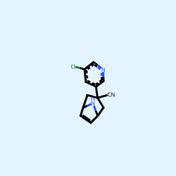 N#CC1(c2cncc(Cl)c2)CC2C=CC(C1)N2